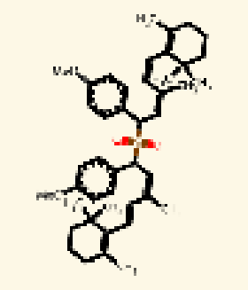 COc1ccc(C(C=C(C)C=CC2=C(C)CCCC2(C)C)S(=O)(=O)C(C=C(C)C=CC2=C(C)CCCC2(C)C)c2ccc(OC)cc2)cc1